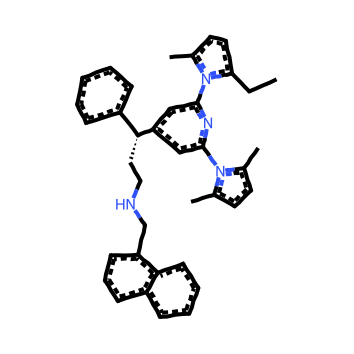 CCc1ccc(C)n1-c1cc([C@H](CCNCc2cccc3ccccc23)c2ccccc2)cc(-n2c(C)ccc2C)n1